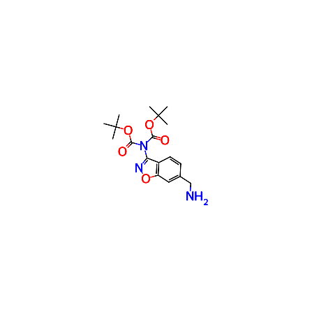 CC(C)(C)OC(=O)N(C(=O)OC(C)(C)C)c1noc2cc(CN)ccc12